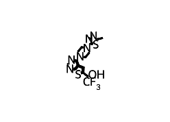 Cc1nnc(N2CCN(c3ncnc4sc(C(O)C(F)(F)F)cc34)CC2)s1